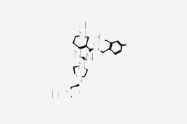 NCC(=O)N1CCN(c2nc3c(c(NCc4ccc(Cl)cc4Cl)n2)CNCC3)CC1